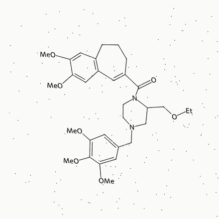 CCOCC1CN(Cc2cc(OC)c(OC)c(OC)c2)CCN1C(=O)C1=Cc2cc(OC)c(OC)cc2CCC1